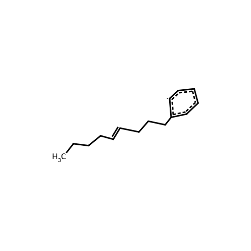 CCCCC=CCCCc1[c]cccc1